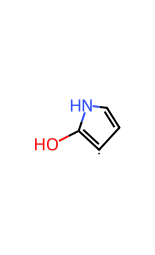 Oc1[c]cc[nH]1